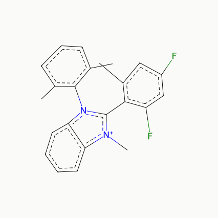 Cc1cc(F)cc(F)c1-c1n(-c2c(C)cccc2C)c2ccccc2[n+]1C